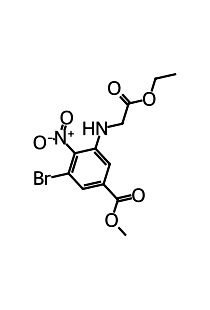 CCOC(=O)CNc1cc(C(=O)OC)cc(Br)c1[N+](=O)[O-]